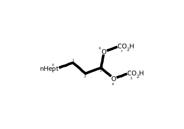 CCCCCCCCCC(OC(=O)O)OC(=O)O